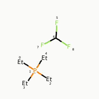 CC[P](CC)(CC)CC.FC(F)F